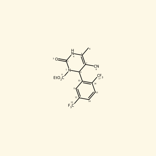 CCOC(=O)N1C(=O)NC(C)=C(C#N)C1c1cc(C(F)(F)F)ccc1C(F)(F)F